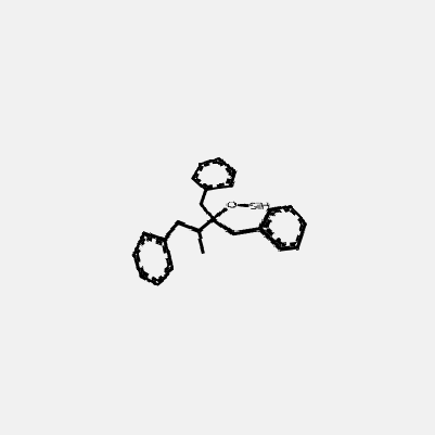 CC(Cc1ccccc1)C(Cc1ccccc1)(Cc1ccccc1)O[SiH3]